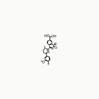 COc1cc(C2=NN(C3=NS(=O)(=O)c4cc(B(O)O)ccc43)C(C)CC2)ccc1F